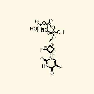 O=c1[nH]c(=O)n([C@H]2C[C@@H](COP(=O)(O)OP(=O)(O)OP(=O)(O)O)[C@@H]2F)cc1F